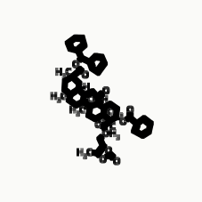 Cc1oc(=O)oc1COC(=O)[C@]1(C)[C@@H](OC(=O)c2ccccc2)CC[C@@]2(C)[C@H]1CC[C@]1(C)[C@@H]2C(=O)C=C2[C@@H]3C[C@@](C)(C(=O)OC(c4ccccc4)c4ccccc4)CC[C@]3(C)CC[C@]21C